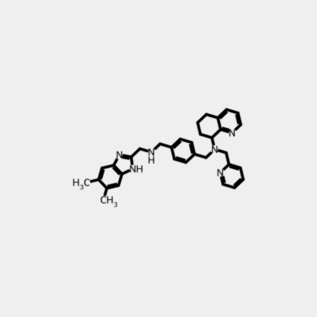 Cc1cc2nc(CNCc3ccc(CN(Cc4ccccn4)C4CCCc5cccnc54)cc3)[nH]c2cc1C